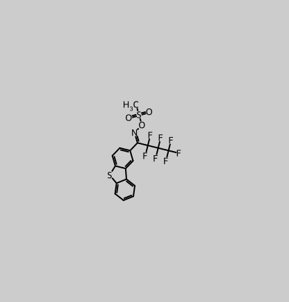 CS(=O)(=O)ON=C(c1ccc2sc3ccccc3c2c1)C(F)(F)C(F)(F)C(F)(F)F